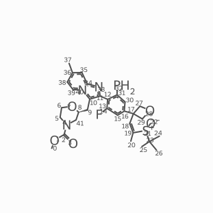 COC(=O)N1CCO[C@@H](Cc2c(-c3c(F)cc(C4(/C=C(/C)[S+]([O-])C(C)(C)C)COC4)cc3P)nc3cc(C)ccn23)C1